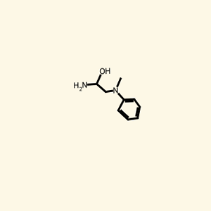 CN(CC(N)O)c1ccccc1